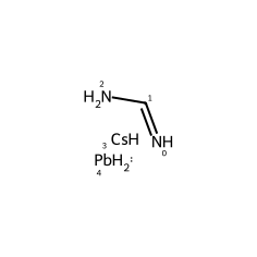 N=CN.[CsH].[PbH2]